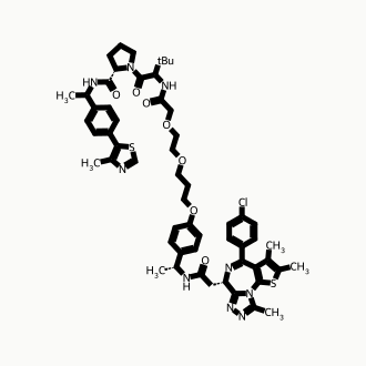 Cc1ncsc1-c1ccc(C(C)NC(=O)[C@@H]2CCCN2C(=O)C(NC(=O)COCCOCCCOc2ccc([C@@H](C)NC(=O)C[C@@H]3N=C(c4ccc(Cl)cc4)c4c(sc(C)c4C)-n4c(C)nnc43)cc2)C(C)(C)C)cc1